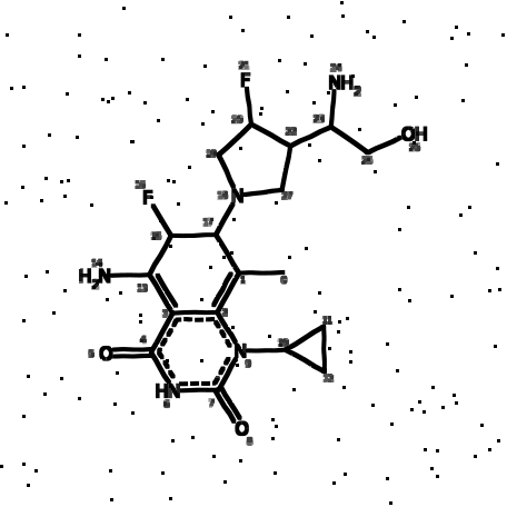 CC1=c2c(c(=O)[nH]c(=O)n2C2CC2)=C(N)C(F)C1N1CC(F)C(C(N)CO)C1